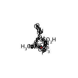 CC1=C2c3c(-c4ccc(F)cc4)sc4ncnc(c34)O[C@@H](C(=O)O)Cc3cc(ccc3OCc3ccnc(N4CCS(=O)(=O)CC4)n3)OC[C@@H](CN3CCN(C)CC3)OC(=C1Cl)C(Cl)C2C